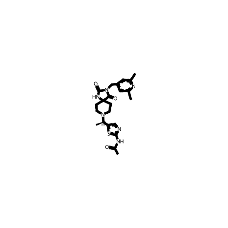 CC(=O)Nc1ncc([C@@H](C)N2CCC3(CC2)NC(=O)N(Cc2cc(C)nc(C)c2)C3=O)s1